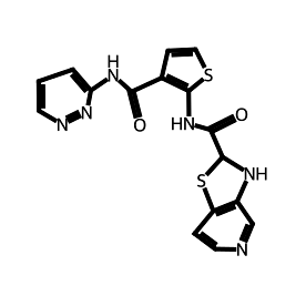 O=C(Nc1cccnn1)c1ccsc1NC(=O)C1Nc2cnccc2S1